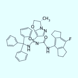 C[C@H]1COc2c(S(=O)(=NC(=O)Nc3c4c(c(F)c5c3CCC5)CCC4)NC(c3ccccc3)(c3ccccc3)c3ccccc3)cnn21